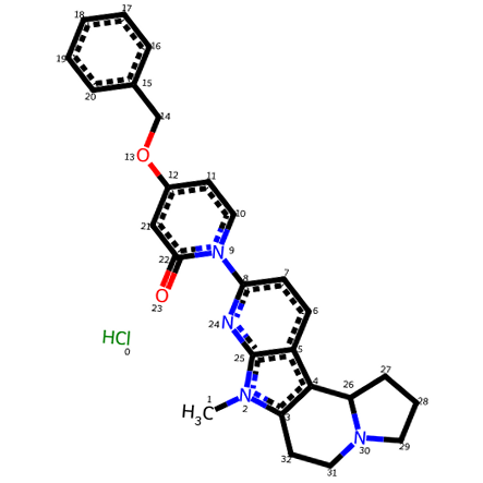 Cl.Cn1c2c(c3ccc(-n4ccc(OCc5ccccc5)cc4=O)nc31)C1CCCN1CC2